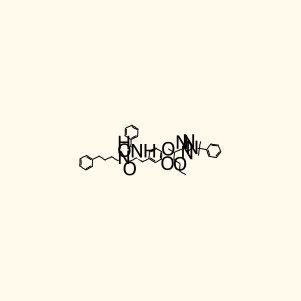 CCOC(=O)C(Oc1ccc(C[C@H](NC(=O)c2ccccc2)C(=O)NCCCCc2ccccc2)cc1)c1nnn(C(C)(C)c2ccccc2)n1